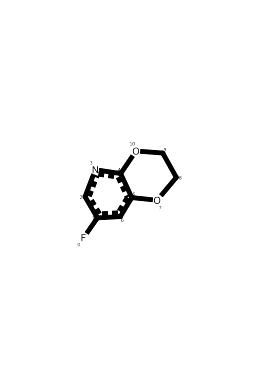 Fc1cnc2c(c1)OCCO2